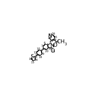 CC(ON1Cc2ccc(-c3ccc(-c4cccs4)cc3)cc2C1=O)c1ccncc1